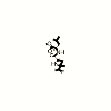 COC(=O)[C@H](CC(C)C)NC(=O)[C@@H]1CC(C)(C(F)F)N1